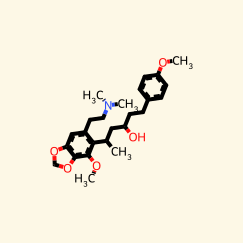 COc1ccc(CCC(O)CC(C)c2c(CCN(C)C)cc3c(c2OC)OCO3)cc1